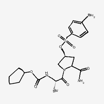 Bc1ccc(S(=O)(=O)O[C@H]2CC(C(N)=O)N(C(=O)[C@@H](NC(=O)OC3CCCC3)C(C)(C)C)C2)cc1